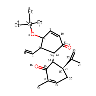 C=CC1C(O[Si](CC)(CC)CC)C=CC(=O)[C@@H]1C1C(=O)C(C)=CC[C@@H]1C(=C)C